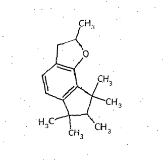 CC1Cc2ccc3c(c2O1)C(C)(C)C(C)C3(C)C